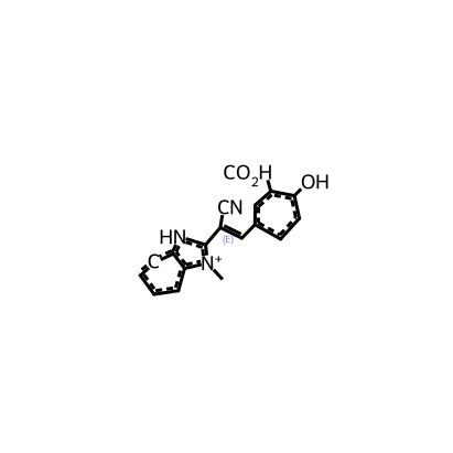 C[n+]1c(/C(C#N)=C/c2ccc(O)c(C(=O)O)c2)[nH]c2ccccc21